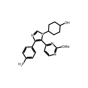 COc1nccc(-c2c(-c3ccc(P)cc3)ncn2C2CCC(O)CC2)n1